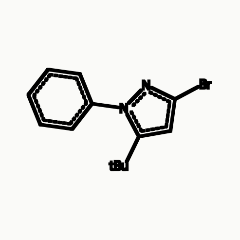 CC(C)(C)c1cc(Br)nn1-c1ccccc1